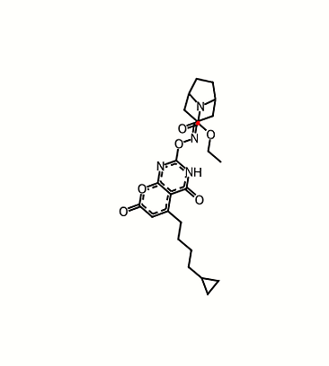 CCOC(=O)N1C2CCC1CC(=NOc1nc3oc(=O)cc(CCCCC4CC4)c3c(=O)[nH]1)C2